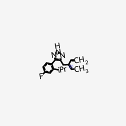 C=C/C(=C\C)Cc1n[nH]nc1-c1ccc(F)cc1C(C)C